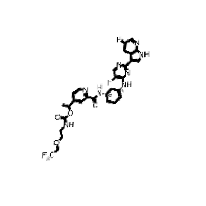 CC(OC(=O)NCCOCC(F)(F)F)c1ccnc(C(=O)N[C@H]2CCC[C@@H](Nc3nc(-c4c[nH]c5ncc(F)cc45)ncc3F)C2)c1